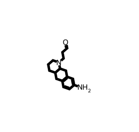 Nc1ccc2c(c1)CC1C(CCCN1CCC=O)C2